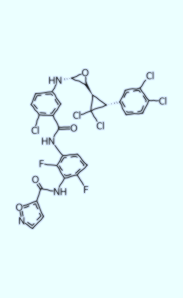 O=C(Nc1c(F)ccc(NC(=O)c2cc(N[C@@H]3OC3[C@H]3[C@H](c4ccc(Cl)c(Cl)c4)C3(Cl)Cl)ccc2Cl)c1F)c1ccno1